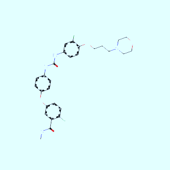 CNC(=O)c1cc(Oc2ccc(NC(=O)Nc3ccc(OCCCN4CCOCC4)c(Cl)c3)cc2)ccc1F